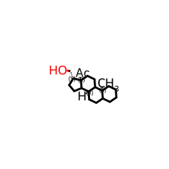 CC(=O)[C@]12CCC3[C@@H](CCC4CCCC[C@@]43C)C1CC[C@@H]2CO